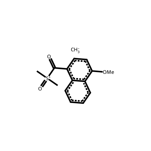 COc1ccc(C(=O)[S+](C)(C)=O)c2ccccc12.[CH3-]